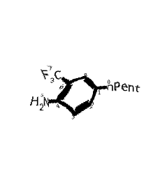 CCCCCc1ccc(N)c(C(F)(F)F)c1